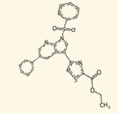 CCOC(=O)c1nc(-c2cn(S(=O)(=O)c3ccccc3)c3ncc(-c4ccccc4)cc23)cs1